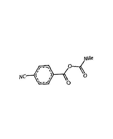 CNC(=O)OC(=O)c1ccc(C#N)cc1